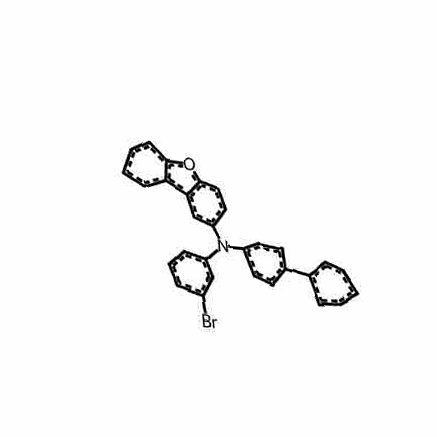 Brc1cccc(N(c2ccc(-c3ccccc3)cc2)c2ccc3oc4ccccc4c3c2)c1